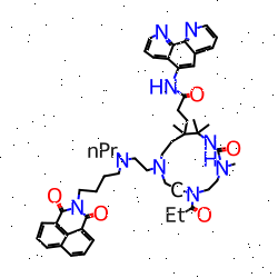 CCCN(CCCCN1C(=O)c2cccc3cccc(c23)C1=O)CCN1CCN(C(=O)CC)CCN(C)C(=O)NC(C)(C)C(C)(CCC(=O)Nc2cc3cccnc3c3ncccc23)CC1